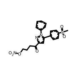 CS(=O)(=O)c1ccc(-c2cc(C(=O)CCCO[N+](=O)[O-])nn2-c2ccccc2)cc1